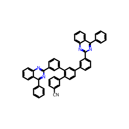 N#Cc1cccc(-c2ccc(-c3cccc(-c4nc(-c5ccccc5)c5ccccc5n4)c3)cc2-c2cccc(-c3nc(-c4ccccc4)c4ccccc4n3)c2)c1